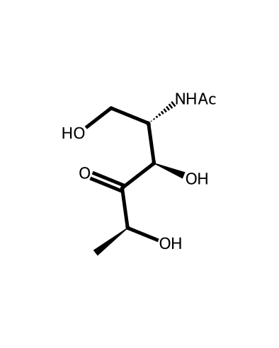 CC(=O)N[C@@H](CO)[C@@H](O)C(=O)[C@H](C)O